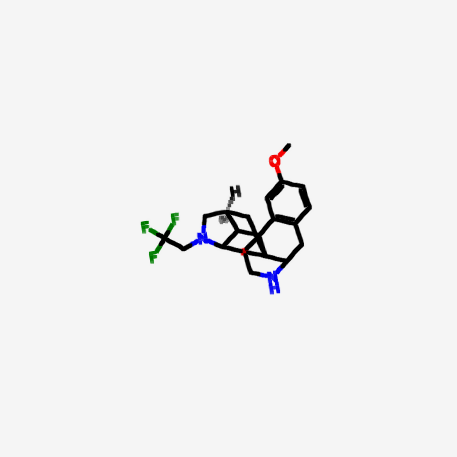 COc1ccc2c(c1)C13CCNC(C2)C12CCC1C3[C@@H](CN1CC(F)(F)F)C2